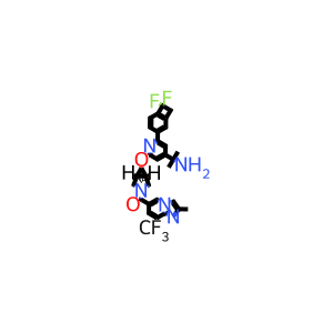 Cc1cn2cc(C(=O)N3C[C@@H]4C(Oc5cc(C(C)(C)N)cc(-c6ccc7c(c6)CC7(F)F)n5)[C@@H]4C3)cc(C(F)(F)F)c2n1